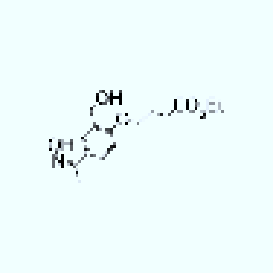 CCOC(=O)CCCOc1ccc(/C(C)=N\O)cc1CO